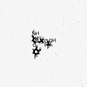 CNCc1cc(OCc2ccc(F)cc2C)n(CC(C)(C)C)n1.O=C(O)C(F)(F)F